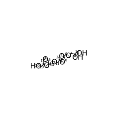 OCC(O)COCC1COC(COCC2COCC(CO)O2)CO1